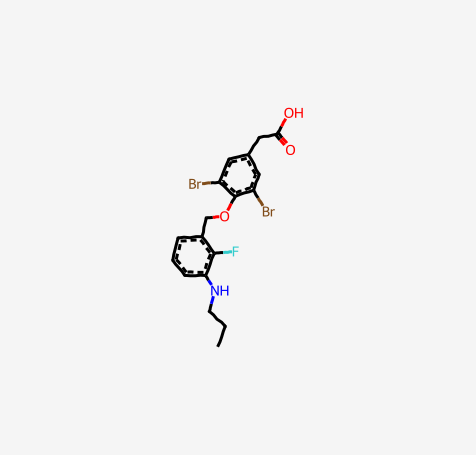 CCCNc1cccc(COc2c(Br)cc(CC(=O)O)cc2Br)c1F